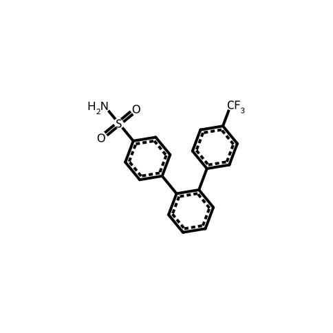 NS(=O)(=O)c1ccc(-c2ccccc2-c2ccc(C(F)(F)F)cc2)cc1